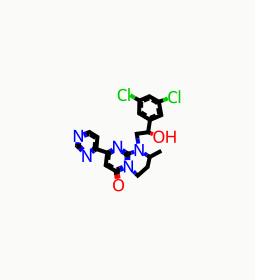 CC1CCn2c(nc(-c3ccncn3)cc2=O)N1CC(O)c1cc(Cl)cc(Cl)c1